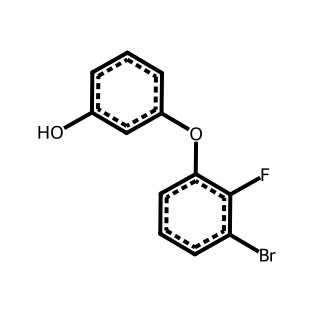 Oc1cccc(Oc2cccc(Br)c2F)c1